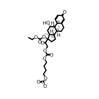 CCOC(=O)O[C@]1(C(=O)COC(=O)OCCCCO[N+](=O)[O-])CC[C@H]2[C@@H]3CCC4=CC(=O)C=C[C@]4(C)[C@H]3[C@@H](O)C[C@@]21C